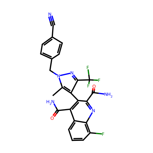 Cc1c(-c2c(C(N)=O)nc3c(F)cccc3c2C(N)=O)c(C(F)(F)F)nn1Cc1ccc(C#N)cc1